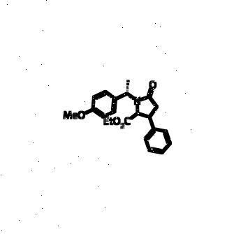 CCOC(=O)C1C(c2ccccc2)CC(=O)N1[C@@H](C)c1ccc(OC)cc1